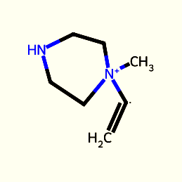 C=[C][N+]1(C)CCNCC1